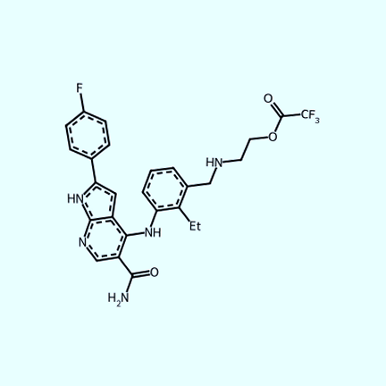 CCc1c(CNCCOC(=O)C(F)(F)F)cccc1Nc1c(C(N)=O)cnc2[nH]c(-c3ccc(F)cc3)cc12